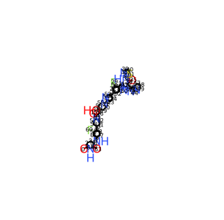 O=C1CC[C@H](Nc2ccc(C3CCN(C(=O)CC4(O)CCN(c5ccc(-c6cc(F)c7cn(C(C(=O)Nc8nccs8)c8ncn9c8CCC9)nc7c6)cn5)CC4)CC3)c(F)c2)C(=O)N1